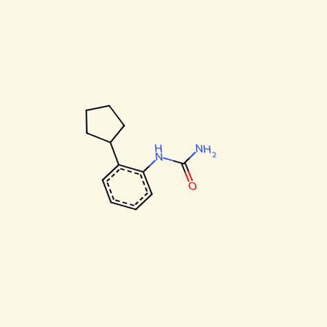 NC(=O)Nc1ccccc1C1CCCC1